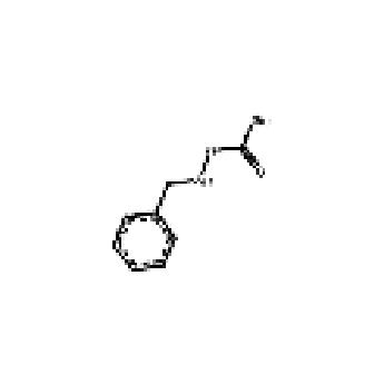 CC(C)(C)C(=O)ONCc1ccccc1